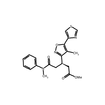 COC(=O)C[C@@H](CC(=O)N(C)c1ccccc1)c1noc(-c2cscn2)c1C